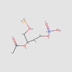 CC(=O)OC(CCO[N+](=O)[O-])COP